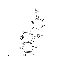 CCc1ccc2[nH]c3c(c2c1)COc1ccccc1-3